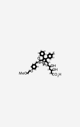 COCCOc1ccc(CNC(=O)c2c(-c3ccccc3)c(-c3ccc(F)cc3)c(CCC(O)CC(O)CC(=O)O)n2C(C)C)cc1